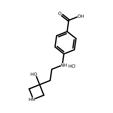 Cl.O=C(O)c1ccc(NCCC2(O)CNC2)cc1